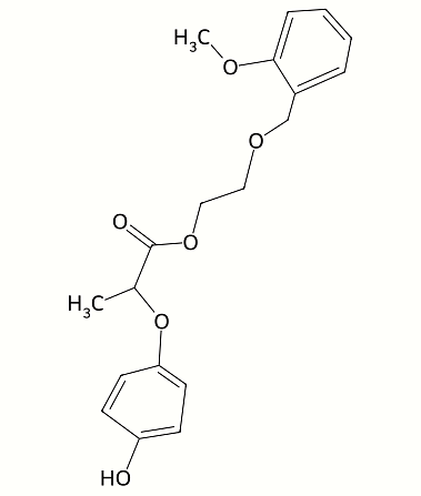 COc1ccccc1COCCOC(=O)C(C)Oc1ccc(O)cc1